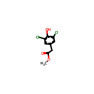 COC(=O)[CH]c1cc(Cl)c(O)c(Cl)c1